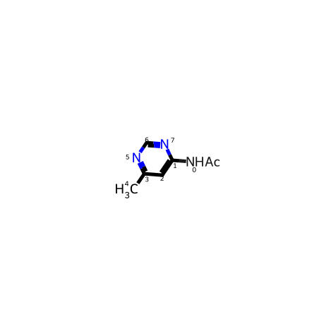 CC(=O)Nc1cc(C)ncn1